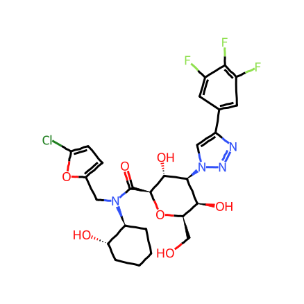 O=C([C@@H]1O[C@H](CO)[C@H](O)[C@H](n2cc(-c3cc(F)c(F)c(F)c3)nn2)[C@H]1O)N(Cc1ccc(Cl)o1)[C@H]1CCCC[C@@H]1O